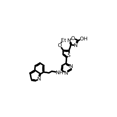 CCOc1cc(-c2cc(NCCc3cccc4cccnc34)ncn2)sc1-c1noc(O)n1